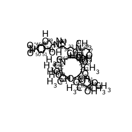 CC[C@H]1OC(=O)[C@H](C)[C@@H](O[C@H]2C[C@@](C)(OC)[C@@H](O)[C@H](C)O2)[C@H](C)[C@@H](O[C@@H]2OCC[C@H](N(C)CCCc3cn([C@H](CO)[C@H](O)c4ccc([N+](=O)[O-])cc4)nn3)[C@H]2O)[C@](C)(O)C[C@@H](C)CN(C)[C@H](C)[C@@H](O)[C@]1(C)O